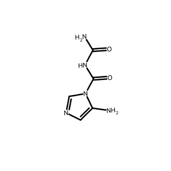 NC(=O)NC(=O)n1cncc1N